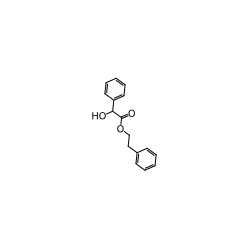 O=C(OCCc1ccccc1)C(O)c1ccccc1